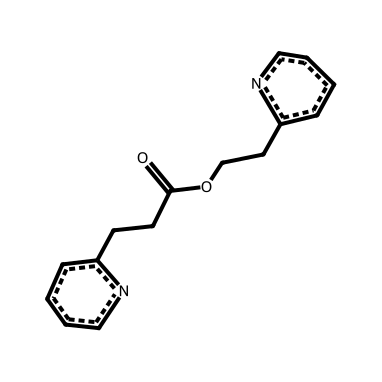 O=C(CCc1ccccn1)OCCc1ccccn1